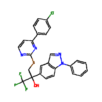 OC(CSc1nccc(-c2ccc(Cl)cc2)n1)(c1ccc2c(cnn2-c2ccccc2)c1)C(F)(F)F